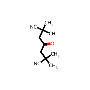 CC(C)(C#N)CC(=O)CC(C)(C)C#N